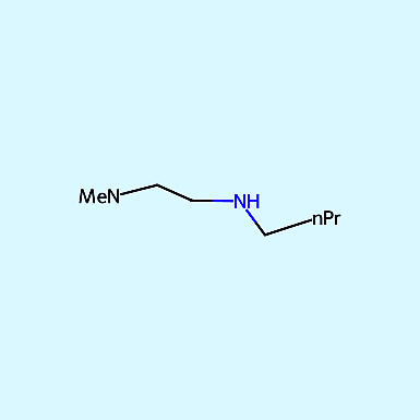 [CH2]CCCNCCNC